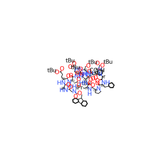 CC(C)C[C@H](NC(=O)[C@@H]1CCCN1C(=O)[C@H](Cc1ccccc1)NC(=O)[C@H](C)NC(=O)[C@H](CCC(=O)OC(C)(C)C)NC(=O)[C@H](C)NC(=O)[C@H](COC(C)(C)C)NC(=O)[C@H](CCC(=O)OC(C)(C)C)NC(=O)[C@H](CC(=O)OC(C)(C)C)NC(=O)[C@H](CCC(=O)OC(C)(C)C)NC(=O)[C@H](C)NC(=O)CNC(=O)OCC1c2ccccc2-c2ccccc21)C(=O)N[C@@H](CCC(=O)OC(C)(C)C)C(=O)N[C@@H](Cc1ccccc1)C(=O)O